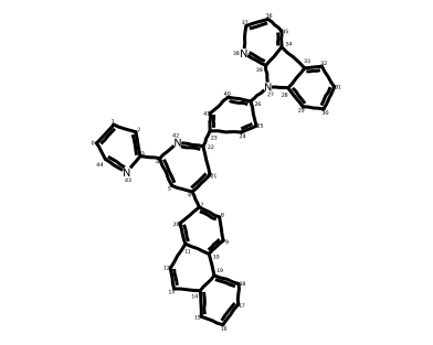 c1ccc(-c2cc(-c3ccc4c(ccc5ccccc54)c3)cc(-c3ccc(-n4c5ccccc5c5cccnc54)cc3)n2)nc1